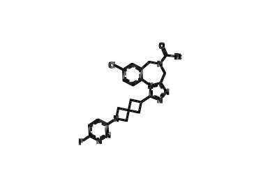 CCC(=O)N1Cc2cc(Cl)ccc2-n2c(nnc2C2CC3(C2)CN(c2ccc(F)nn2)C3)C1